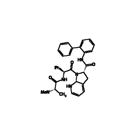 CN[C@@H](C)C(=O)N[C@H](C(=O)N1C2NC=CC=C2C[C@H]1C(=O)Nc1ccccc1-c1ccccc1)C(C)C